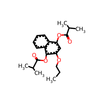 CCCOc1cc(OC(=O)C(C)C)c2ccccc2c1OC(=O)C(C)C